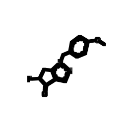 COc1ccc(Cn2ncc3c2CC(F)C3=O)cc1